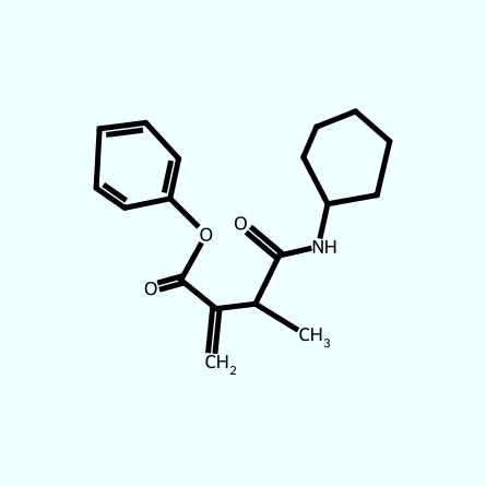 C=C(C(=O)Oc1ccccc1)C(C)C(=O)NC1CCCCC1